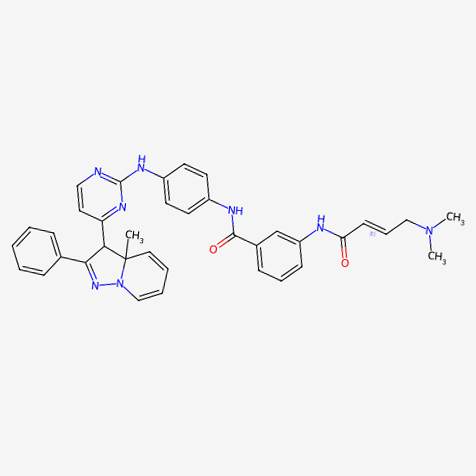 CN(C)C/C=C/C(=O)Nc1cccc(C(=O)Nc2ccc(Nc3nccc(C4C(c5ccccc5)=NN5C=CC=CC45C)n3)cc2)c1